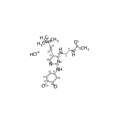 CC(=O)NCCNc1nc(Nc2ccc(Cl)c(Cl)c2)ncc1C#C[Si](C)(C)C.Cl